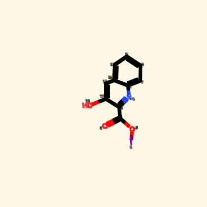 O=C(OI)c1nc2ccccc2cc1O